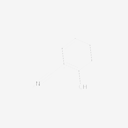 CC1=C(C#N)C=CC[CH]1